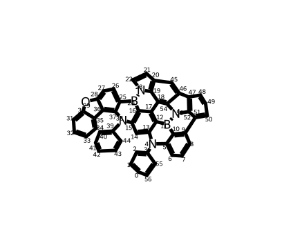 c1ccc(N2c3cccc4c3B3c5c2cc2c6c5-c5c7c(ccn7B6c6ccc7oc8ccccc8c7c6N2c2ccccc2)cc2c6cccc-4c6n3c52)cc1